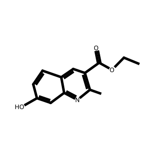 CCOC(=O)c1cc2ccc(O)cc2nc1C